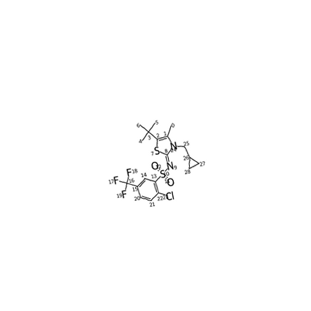 Cc1c(C(C)(C)C)s/c(=N\S(=O)(=O)c2cc(C(F)(F)F)ccc2Cl)n1CC1CC1